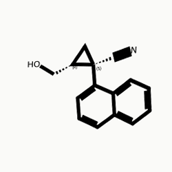 N#C[C@@]1(c2cccc3ccccc23)C[C@H]1CO